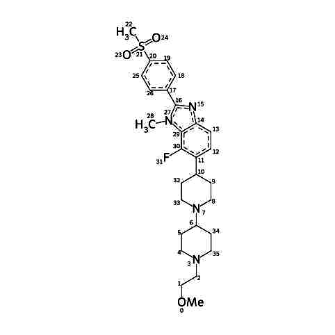 COCCN1CCC(N2CCC(c3ccc4nc(-c5ccc(S(C)(=O)=O)cc5)n(C)c4c3F)CC2)CC1